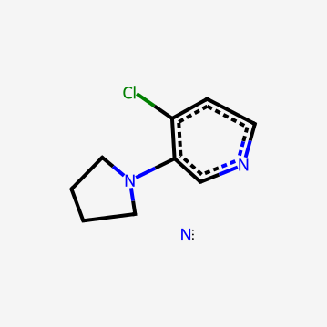 Clc1ccncc1N1CCCC1.[N]